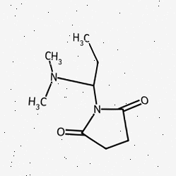 CCC(N(C)C)N1C(=O)CCC1=O